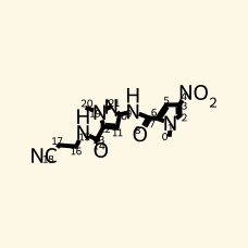 Cn1cc([N+](=O)[O-])cc1C(=O)Nc1cc(C(=O)NCCC#N)n(C)n1